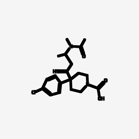 CC(=O)N(C)C(C)CC(=N)C1(c2ccc(Cl)cc2)CCN(C(=O)O)CC1